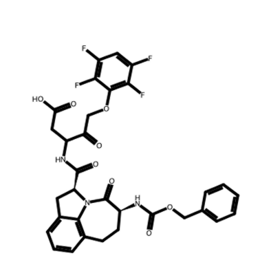 O=C(O)CC(NC(=O)[C@@H]1Cc2cccc3c2N1C(=O)[C@@H](NC(=O)OCc1ccccc1)CC3)C(=O)COc1c(F)c(F)cc(F)c1F